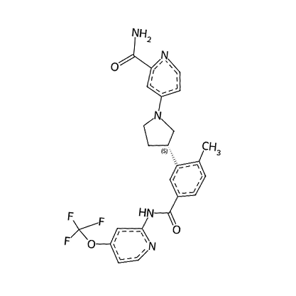 Cc1ccc(C(=O)Nc2cc(OC(F)(F)F)ccn2)cc1[C@@H]1CCN(c2ccnc(C(N)=O)c2)C1